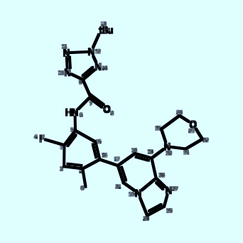 Cc1cc(F)c(NC(=O)c2nnn(C(C)(C)C)n2)cc1-c1cc(N2CCOCC2)c2nccn2c1